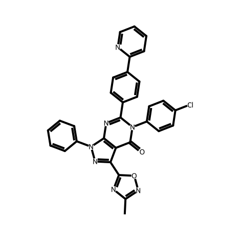 Cc1noc(-c2nn(-c3ccccc3)c3nc(-c4ccc(-c5ccccn5)cc4)n(-c4ccc(Cl)cc4)c(=O)c23)n1